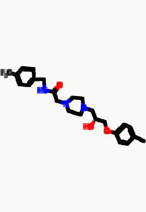 Cc1ccc(OC[C@H](O)CN2CCN(CC(=O)NCc3ccc(C(F)(F)F)cc3)CC2)cc1